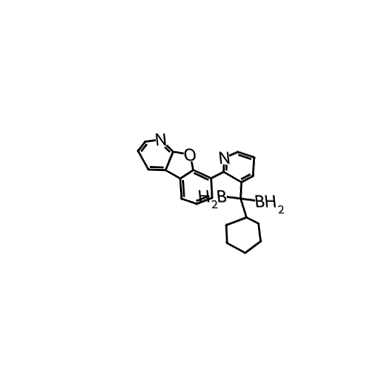 BC(B)(c1cccnc1-c1cccc2c1oc1ncccc12)C1CCCCC1